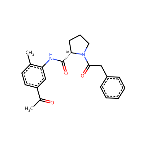 CC(=O)c1ccc(C)c(NC(=O)[C@@H]2CCCN2C(=O)Cc2ccccc2)c1